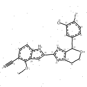 COc1c(C#N)ccc2[nH]c(-c3nc4n(n3)CCOC4c3ccc(F)c(Cl)c3)cc12